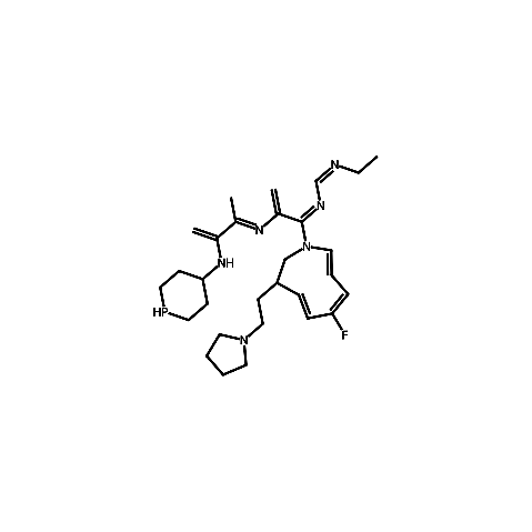 C=C(NC1CCPCC1)/C(C)=N/C(=C)/C(=N\C=N/CC)N1/C=C/C=C(F)\C=C\C(CCN2CCCC2)C1